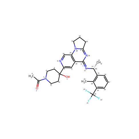 CC(=O)N1CCC(O)(c2cc3/c(=N/[C@H](C)c4cccc(C(F)(F)F)c4C)nc4n(c3cn2)CCC4)CC1